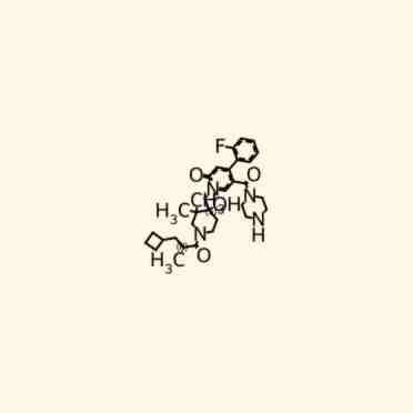 C[C@H](CC1CCC1)C(=O)N1CC[C@@](O)(Cn2cc(C(=O)N3CCNCC3)c(-c3ccccc3F)cc2=O)C(C)(C)C1